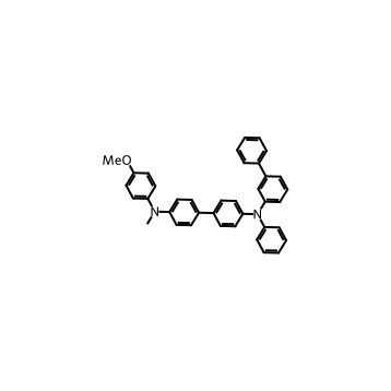 COc1ccc(N(C)c2ccc(-c3ccc(N(c4ccccc4)c4cccc(-c5ccccc5)c4)cc3)cc2)cc1